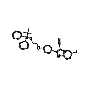 CC(C)(C)[Si](OCCOc1ccc(-c2nc3ccc(I)cn3c2C#N)cc1)(c1ccccc1)c1ccccc1